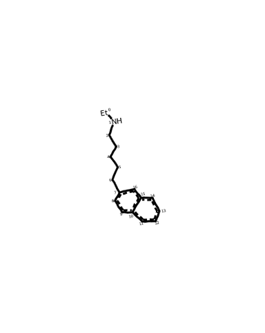 CCNCCCCCc1ccc2ccccc2c1